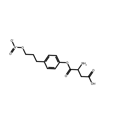 NC(CC(=O)O)C(=O)Oc1ccc(CCCO[N+](=O)[O-])cc1